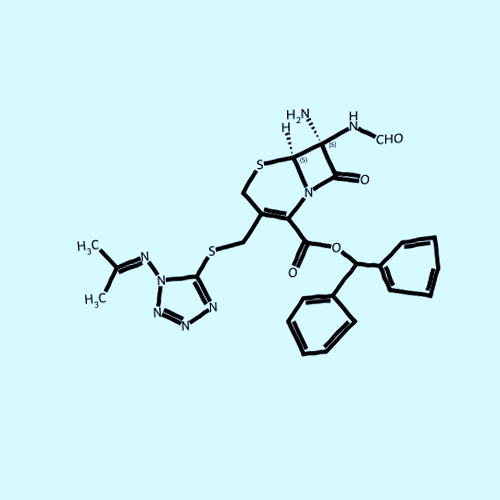 CC(C)=Nn1nnnc1SCC1=C(C(=O)OC(c2ccccc2)c2ccccc2)N2C(=O)[C@](N)(NC=O)[C@@H]2SC1